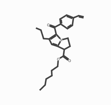 C=Cc1ccc(C(=O)c2c(CCC)cc3n2CCC3C(=O)OCCCCCC)cc1